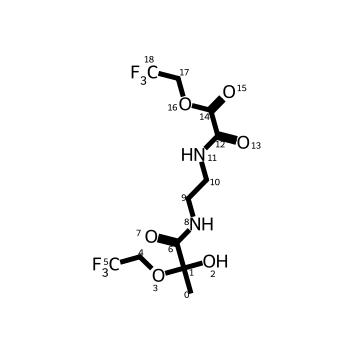 CC(O)(OCC(F)(F)F)C(=O)NCCNC(=O)C(=O)OCC(F)(F)F